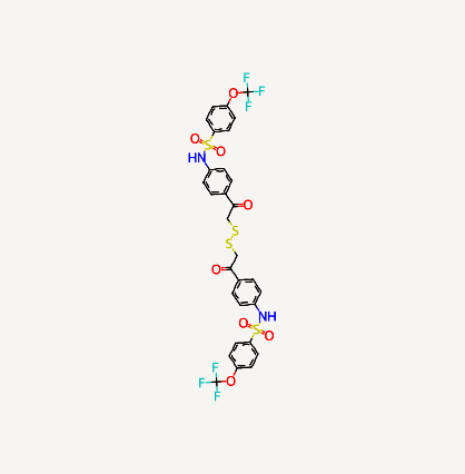 O=C(CSSCC(=O)c1ccc(NS(=O)(=O)c2ccc(OC(F)(F)F)cc2)cc1)c1ccc(NS(=O)(=O)c2ccc(OC(F)(F)F)cc2)cc1